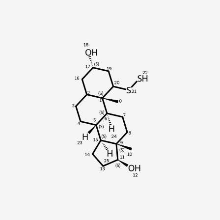 C[C@]12C(CC[C@@H]3[C@@H]1CC[C@]1(C)[C@@H](O)CC[C@@H]31)C[C@H](O)CC2SS